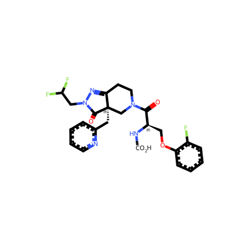 O=C(O)N[C@H](COc1ccccc1F)C(=O)N1CCC2=NN(CC(F)F)C(=O)[C@]2(Cc2ccccn2)C1